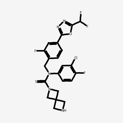 Fc1ccc(N(Cc2ccc(-c3nnc(C(F)F)o3)cc2F)C(=S)N2CC3(CNC3)C2)cc1Cl